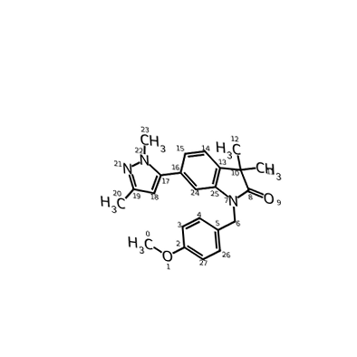 COc1ccc(CN2C(=O)C(C)(C)c3ccc(-c4cc(C)nn4C)cc32)cc1